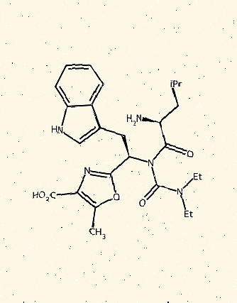 CCN(CC)C(=O)N(C(=O)[C@@H](N)CC(C)C)[C@H](Cc1c[nH]c2ccccc12)c1nc(C(=O)O)c(C)o1